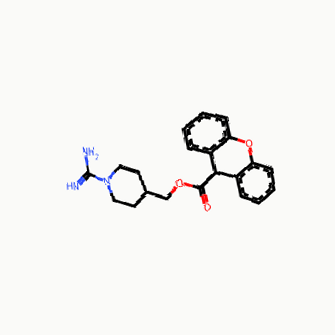 N=C(N)N1CCC(COC(=O)C2c3ccccc3Oc3ccccc32)CC1